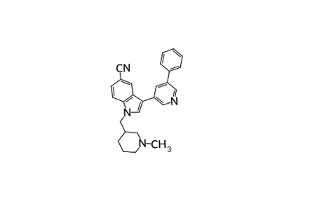 CN1CCCC(Cn2cc(-c3cncc(-c4ccccc4)c3)c3cc(C#N)ccc32)C1